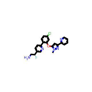 Cn1nc(-c2ccccn2)cc1Oc1cc(Cl)ccc1-c1ccc([C@H](F)CN)cn1